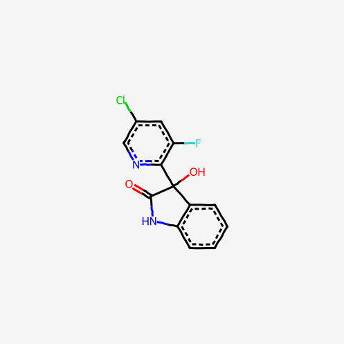 O=C1Nc2ccccc2C1(O)c1ncc(Cl)cc1F